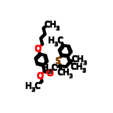 CCCCCOc1ccc(C(=O)OCC)cc1.Cc1ccc2c(c1)SC(C)(C)CC2(C)C